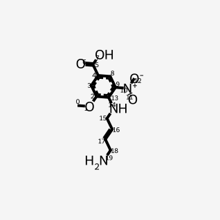 COc1cc(C(=O)O)cc([N+](=O)[O-])c1NCC=CCN